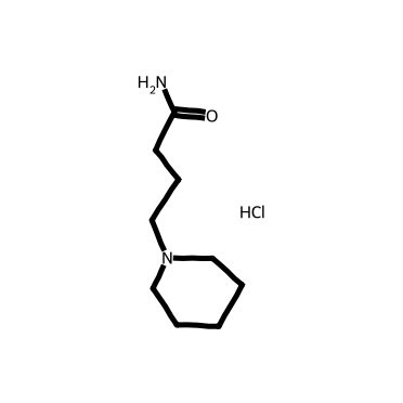 Cl.NC(=O)CCCN1CCCCC1